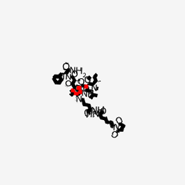 CC[C@H](C)[C@@H]([C@@H](CC(=O)N1CCC[C@H]1[C@H](OC)[C@@H](C)C(=O)N[C@@H](Cc1ccccc1)C(N)=O)OC)N(C)[C@H](C(=O)NC(=O)[C@H](C(C)C)N(C)CCCC(=O)NNC(=O)CCCCCN1C(=O)C=CC1=O)C(C)C